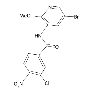 COc1ncc(Br)cc1NC(=O)c1ccc([N+](=O)[O-])c(Cl)c1